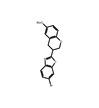 COc1ccc2c(c1)CC(c1nc3ccc(Br)cc3s1)CO2